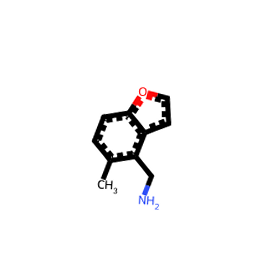 Cc1ccc2occc2c1CN